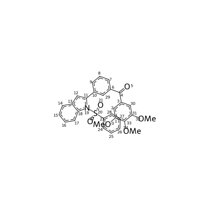 COc1cc(C(=O)c2cccc(-c3cc4ccccc4n3S(=O)(=O)c3ccccc3)c2)cc(OC)c1OC